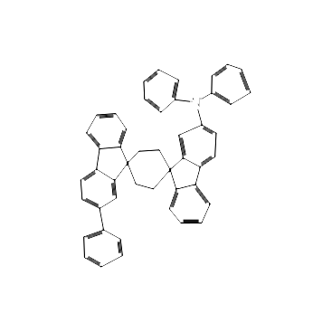 c1ccc(-c2ccc3c(c2)C2(CCC4(CC2)c2ccccc2-c2ccc(N(c5ccccc5)c5ccccc5)cc24)c2ccccc2-3)cc1